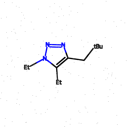 CCc1c(CC(C)(C)C)nnn1CC